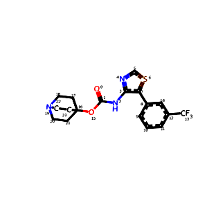 O=C(Nc1ncsc1-c1cccc(C(F)(F)F)c1)OC12CCN(CC1)CC2